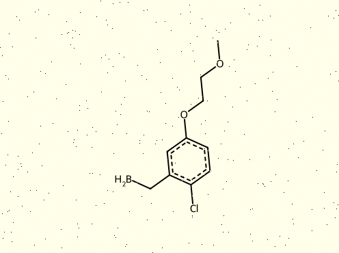 BCc1cc(OCCOC)ccc1Cl